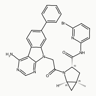 C[C@@]12C[C@@H](C(=O)Nc3cccc(Br)n3)N(C(=O)Cn3c4cc(-c5ccccc5)ccc4c4c(N)ncnc43)[C@@H]1C2